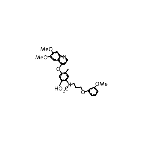 COc1cccc(OCCCN(C(=O)O)c2cc(C)c(Oc3ccnc4cc(OC)c(OC)cc34)cc2C)c1